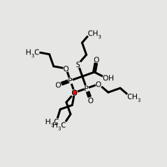 CCCOP(=O)(OCCC)C(SCCC)(C(=O)O)P(=O)(OCCC)OCCC